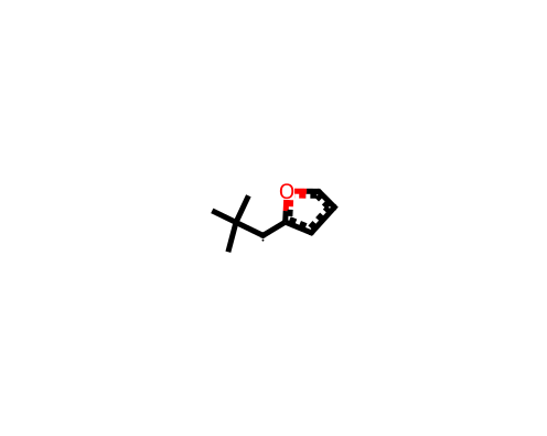 CC(C)(C)[CH]c1ccco1